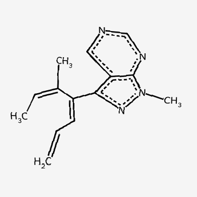 C=C/C=C(\C(C)=C/C)c1nn(C)c2ncncc12